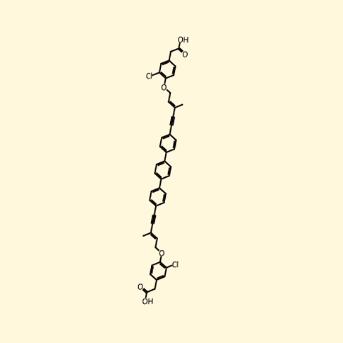 CC(C#Cc1ccc(-c2ccc(-c3ccc(C#CC(C)=CCOc4ccc(CC(=O)O)cc4Cl)cc3)cc2)cc1)=CCOc1ccc(CC(=O)O)cc1Cl